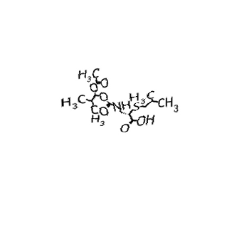 CC(=O)O[C@H](OC(=O)NC[C@H](SCC(C)C)C(=O)O)C(C)C